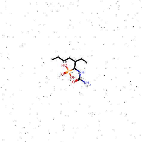 CCCCC(CC)C(NC(N)=O)P(=O)(O)O